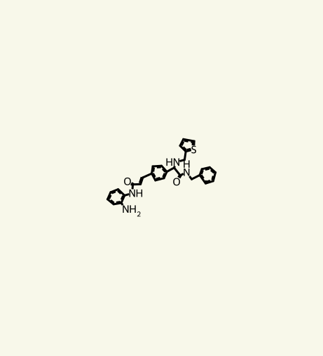 Nc1ccccc1NC(=O)/C=C/c1ccc(C(NCc2cccs2)C(=O)NCc2ccccc2)cc1